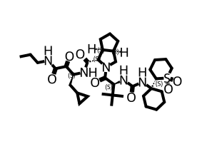 CCCNC(=O)C(=O)[C@H](CC1CC1)NC(=O)[C@@H]1[C@H]2CCC[C@H]2CN1C(=O)[C@@H](NC(=O)NC1([C@@H]2CCCCS2(=O)=O)CCCCC1)C(C)(C)C